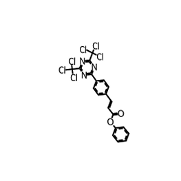 O=C(C=Cc1ccc(-c2nc(C(Cl)(Cl)Cl)nc(C(Cl)(Cl)Cl)n2)cc1)Oc1ccccc1